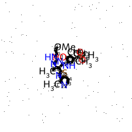 C=C1[C@@H](O)[C@H](Nc2nc(NCCOC)nc(C)c2-c2nc3c(C)nccc3s2)C[C@@H]1C(C)(C)S(C)(=O)=O